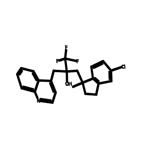 CC1(CC(O)(Cc2ccnc3ccccc23)C(F)(F)F)CCc2cc(Cl)ccc21